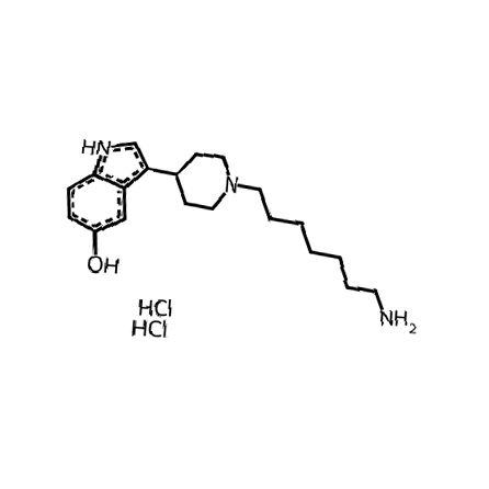 Cl.Cl.NCCCCCCCN1CCC(c2c[nH]c3ccc(O)cc23)CC1